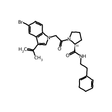 C=C(C)c1cn(CC(=O)N2CCC[C@H]2C(=O)NCCC2=CCCC=C2)c2ccc(Br)cc12